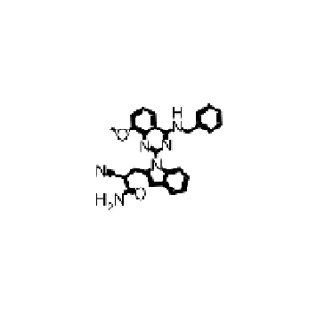 COc1cccc2c(NCc3ccccc3)nc(-n3c(CC(C#N)C(N)=O)cc4ccccc43)nc12